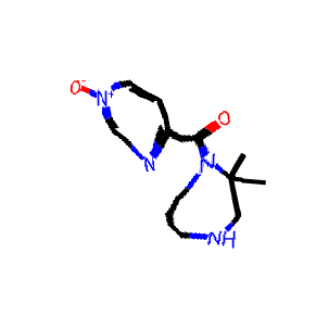 CC1(C)CNCCN1C(=O)c1cc[n+]([O-])cn1